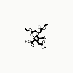 CCOC(=O)CN(CC(=O)OCC)c1sc(C(=O)O)c(CC(=O)OC)c1C#N